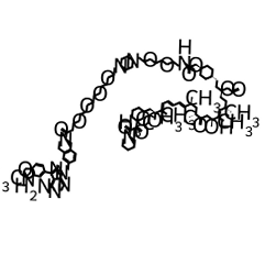 CO[C@@H](CC1CCCC(C(=O)C(=O)N2CCCCC2)O1)/C(C)=C/C=C/C=C/[C@@H](C)C[C@@H](C)C(=O)C[C@H](O)/C(C)=C/[C@@H](C)CC[C@@H](CC[C@H]1CC[C@H](OC(=O)NCCOCCOCCN2CCN(CCOCCOCCOCCOCCC(=O)N3CCc4cc(Cn5nc(-c6ccc7oc(C)nc7c6)c6c(N)ncnc65)ccc4C3)CC2)CC1)OC=O